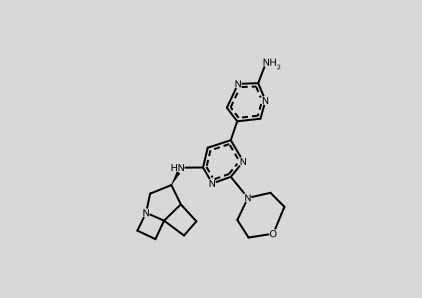 Nc1ncc(-c2cc(N[C@@H]3CN4CCC45CCC35)nc(N3CCOCC3)n2)cn1